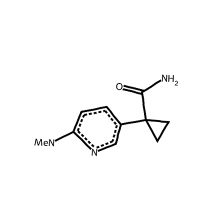 CNc1ccc(C2(C(N)=O)CC2)cn1